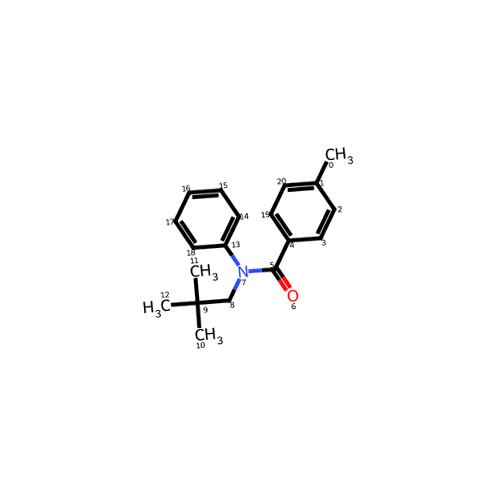 Cc1ccc(C(=O)N(CC(C)(C)C)c2ccccc2)cc1